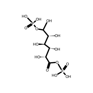 O=C(OP(=O)(O)O)[C@H](O)[C@@H](O)[C@@H](O)[C@@H](O)C(O)OP(=O)(O)O